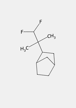 CC(C)(C(F)F)C1CC2CCC1C2